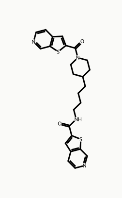 O=C(NCCCCC1CCN(C(=O)c2cc3ccncc3s2)CC1)c1cc2ccncc2s1